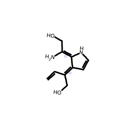 C=C/C(CO)=c1/cc[nH]/c1=C(/N)CO